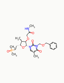 CNC(=O)CO[C@@H]1[C@H](C)[C@@H](CCP(C)(C)=O)O[C@H]1n1cc(C)c(=O)n(COCc2ccccc2)c1=O